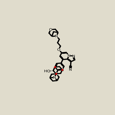 N#Cc1cnn2cc(OCCCN3C4COCC3C4)cc(-c3ccc(N4CC5CC(C4)N5C4CCCC[C@H]4O)nc3)c12